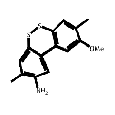 COc1cc2c(cc1C)SSc1cc(C)c(N)cc1-2